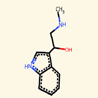 CNCC(O)c1c[nH]c2ccccc12